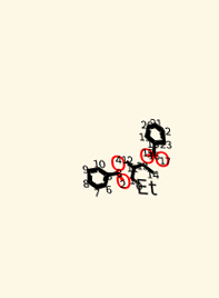 CCC(OC(=O)c1ccccc1)C(C)C(C)OC(=O)c1ccccc1